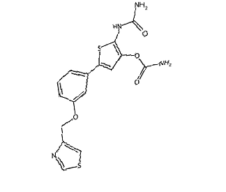 NC(=O)Nc1sc(-c2cccc(OCc3cscn3)c2)cc1OC(N)=O